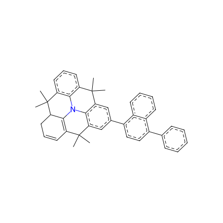 CC1(C)C2=C3C(CC=C2)C(C)(C)c2cccc4c2N3c2c1cc(-c1ccc(-c3ccccc3)c3ccccc13)cc2C4(C)C